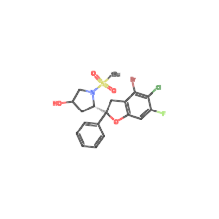 CC(C)(C)S(=O)(=O)N1CC(O)C[C@H]1C1(c2ccccc2)Cc2c(cc(F)c(Cl)c2Br)O1